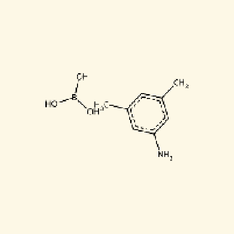 Cc1cc(C)cc(N)c1.OB(O)O